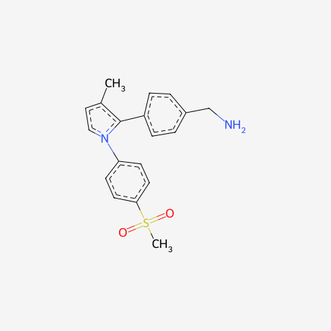 Cc1ccn(-c2ccc(S(C)(=O)=O)cc2)c1-c1ccc(CN)cc1